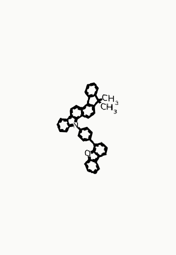 CC1(C)c2ccccc2-c2c1ccc1c2ccc2c3ccccc3n(-c3ccc(-c4cccc5c4oc4ccccc45)cc3)c12